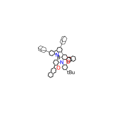 CC(C)(C)c1ccc(N2c3c(ccc4c3oc3cc5ccccc5cc34)B3c4c(cc5c(oc6ccccc65)c42)-c2cc(C45CC6CC(CC(C6)C4)C5)cc4c5cc(C67CC8CC(CC(C8)C6)C7)ccc5n3c24)c(-c2ccccc2)c1